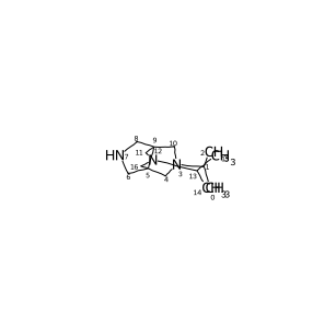 CC(C)N1CC23CNCC2(C1)CN(C(C)C)C3